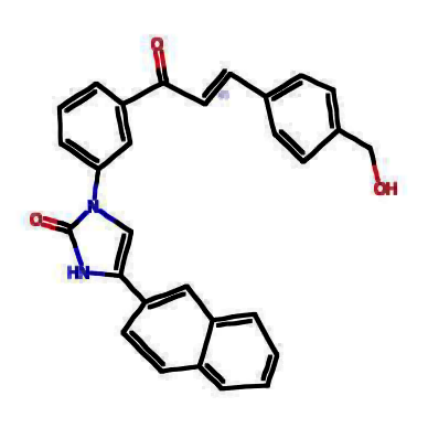 O=C(/C=C/c1ccc(CO)cc1)c1cccc(-n2cc(-c3ccc4ccccc4c3)[nH]c2=O)c1